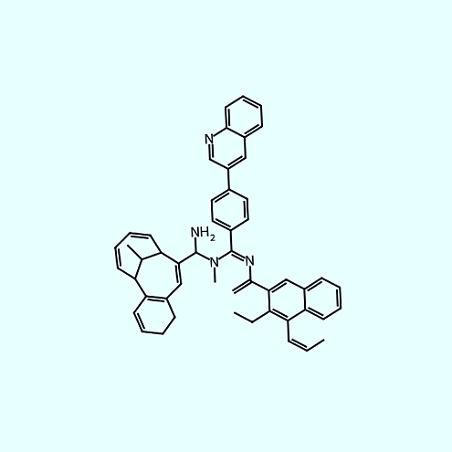 C=C(/N=C(/c1ccc(-c2cnc3ccccc3c2)cc1)N(C)C(N)C1=CC2=C(C=CCC2)C2C=CC=CC1C2C)c1cc2ccccc2c(/C=C\C)c1CC